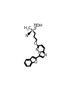 C[N+](C#N)(CCCOc1ccc2ncc(-c3cc4ccccc4o3)n2n1)[SH-]O